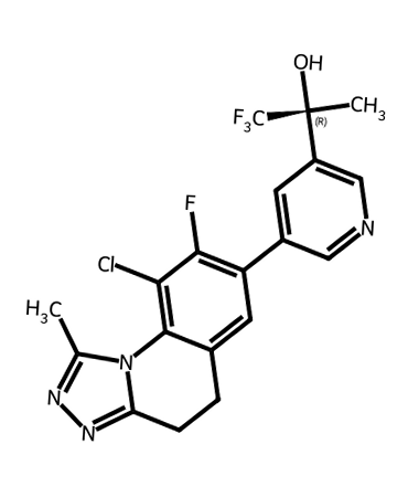 Cc1nnc2n1-c1c(cc(-c3cncc([C@@](C)(O)C(F)(F)F)c3)c(F)c1Cl)CC2